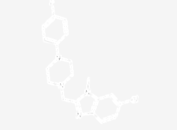 Cn1c(CN2CCN(c3ccc(F)cc3)CC2)nc2ccc(Cl)cc21